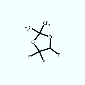 FC1OC(C(F)(F)F)(C(F)(F)F)OC1(F)F